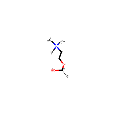 CCCC[N+](CC)(CCC)CCO[C@@H](O)CC